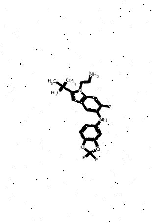 CC(C)(C)c1cc2cc(Nc3ccc4c(c3)OC(F)(F)O4)c(F)cc2n1CCN